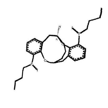 CCCCP(I)c1cccc2c1OC1CCC[C@H](C2)Oc2c(cccc2P(I)CCCC)C1